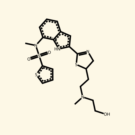 CN(CCO)CCC1CN=C(c2cc3cccc(N(C)S(=O)(=O)c4cccs4)c3[nH]2)S1